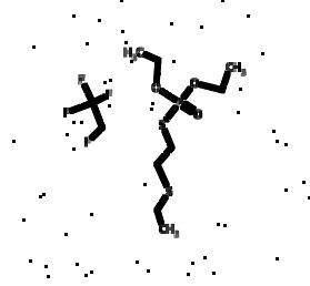 CCOP(=O)(OCC)SCCSCC.FCC(F)(F)F